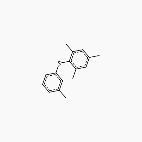 Cc1cccc(Sc2c(C)cc(C)cc2C)c1